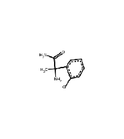 CC(N)(C(N)=O)c1ccccc1Cl